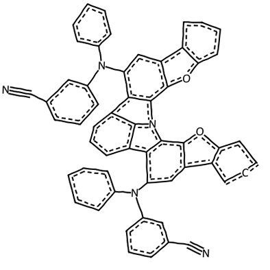 N#Cc1cccc(N(c2ccccc2)c2cc3c4ccccc4oc3c3c2c2cccc4c5c(N(c6ccccc6)c6cccc(C#N)c6)cc6c7ccccc7oc6c5n3c24)c1